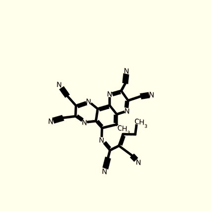 CC/C=C(C#N)/C(C#N)=N\c1c(C)c2nc(C#N)c(C#N)nc2c2nc(C#N)c(C#N)nc12